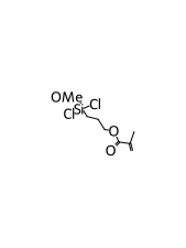 C=C(C)C(=O)OCCC[Si](Cl)(Cl)OC